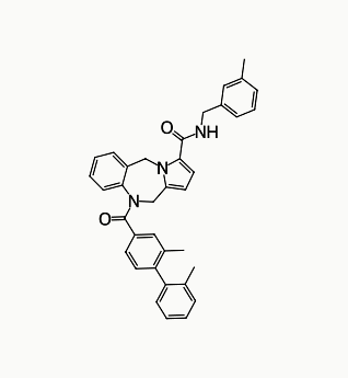 Cc1cccc(CNC(=O)c2ccc3n2Cc2ccccc2N(C(=O)c2ccc(-c4ccccc4C)c(C)c2)C3)c1